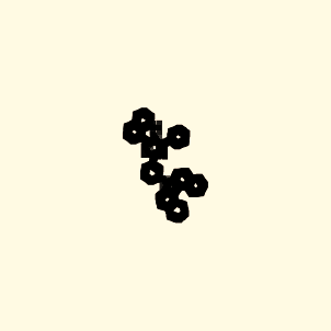 C1=Cc2ccc3c(c2CC1)c1c2ccccc2ccc1n3C1C=C(C2=NC(c3ccccc3)NC(c3cccc4ccccc34)=N2)C=CC1